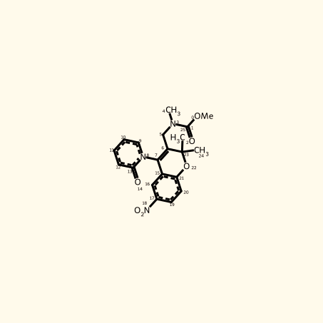 COC(=O)N(C)CC1=C(n2ccccc2=O)c2cc([N+](=O)[O-])ccc2OC1(C)C